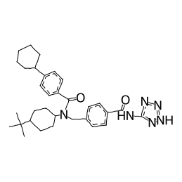 CC(C)(C)C1CCC(N(Cc2ccc(C(=O)Nc3nn[nH]n3)cc2)C(=O)c2ccc(C3CCCCC3)cc2)CC1